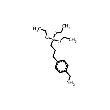 CCO[Si](CCCc1ccc(CN)cc1)(OCC)OCC